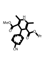 COC(=O)C1=C(C)NC(C)=C(C(=O)OC(C)C)C1c1ccc(C#N)cc1